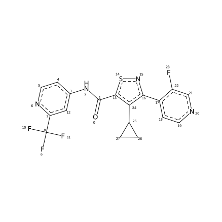 O=C(Nc1ccnc(C(F)(F)F)c1)c1snc(-c2ccncc2F)c1C1CC1